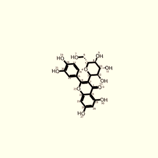 O=c1c(C2O[C@H](CO)[C@@H](O)[C@H](O)[C@H]2O)c(-c2ccc(O)c(O)c2)oc2cc(O)cc(O)c12